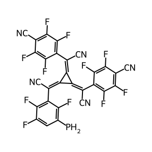 N#CC(=C1C(=C(\C#N)c2c(F)c(F)c(C#N)c(F)c2F)/C1=C(\C#N)c1c(F)c(F)c(C#N)c(F)c1F)c1c(F)c(F)cc(P)c1F